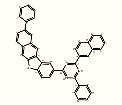 c1ccc(-c2ccc3cc4oc5ccc(-c6nc(-c7ccccc7)nc(-c7ccc8ccccc8c7)n6)cc5c4cc3c2)cc1